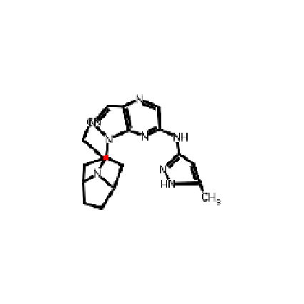 Cc1cc(Nc2cnc3cnn(C4CC5CCC(C4)N5CCC#N)c3n2)n[nH]1